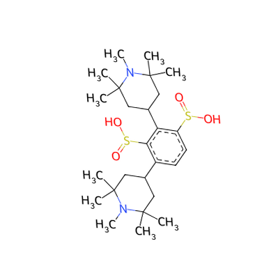 CN1C(C)(C)CC(c2ccc(S(=O)O)c(C3CC(C)(C)N(C)C(C)(C)C3)c2S(=O)O)CC1(C)C